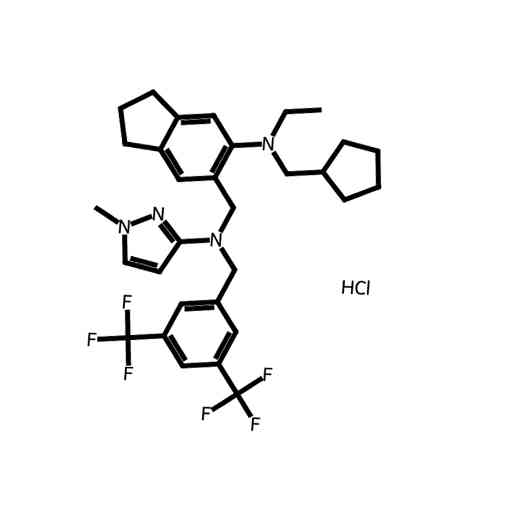 CCN(CC1CCCC1)c1cc2c(cc1CN(Cc1cc(C(F)(F)F)cc(C(F)(F)F)c1)c1ccn(C)n1)CCC2.Cl